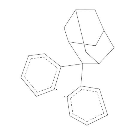 [c]1ccccc1C1(c2[c]cccc2)C2CC3CC(C2)CC1C3